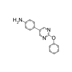 Nc1ccc(-c2cnc(Oc3ccccc3)nc2)cc1